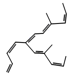 C=C\C=C/C(=C/C=C(C)/C=C\C)/C=C(C)/C=C\C